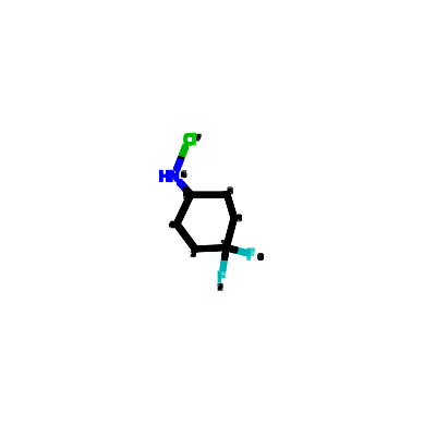 FC1(F)CCC(NCl)CC1